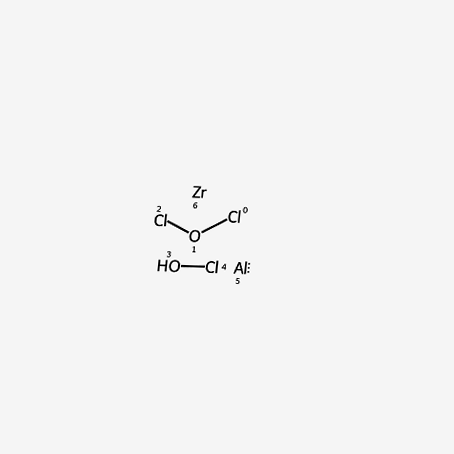 ClOCl.OCl.[Al].[Zr]